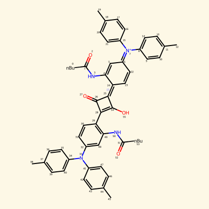 CCCCC(=O)NC1=CC(=[N+](c2ccc(C)cc2)c2ccc(C)cc2)C=C/C1=C1/C(=O)C(c2ccc(N(c3ccc(C)cc3)c3ccc(C)cc3)cc2NC(=O)CCCC)=C1O